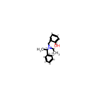 CCN(Cc1ccccc1O)C(C)c1ccccc1